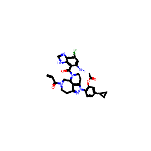 C=CC(=O)N1CCc2nn(-c3ccc(C4CC4)cc3OC(C)=O)c3c2C(C1)N(C(=O)c1c(N)cc(Br)c2nc[nH]c12)CC3